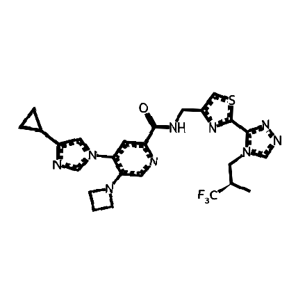 C[C@H](Cn1cnnc1-c1nc(CNC(=O)c2cc(-n3cnc(C4CC4)c3)c(N3CCC3)cn2)cs1)C(F)(F)F